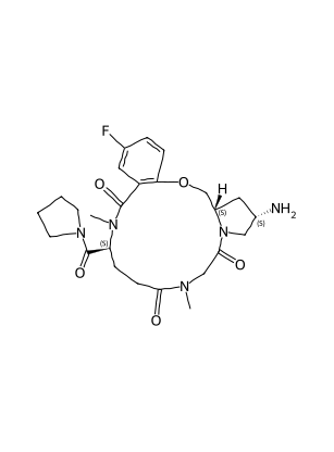 CN1CC(=O)N2C[C@@H](N)C[C@H]2COc2ccc(F)cc2C(=O)N(C)[C@H](C(=O)N2CCCC2)CCC1=O